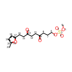 COS(=O)(=O)OCCCC(=O)CCC(=O)CCc1ccc(C)o1